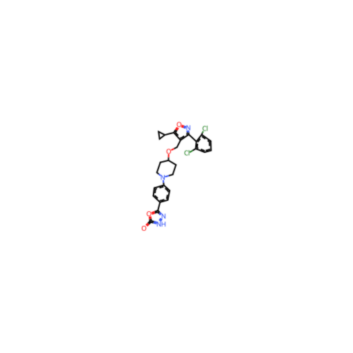 O=c1[nH]nc(-c2ccc(N3CCC(OCc4c(-c5c(Cl)cccc5Cl)noc4C4CC4)CC3)cc2)o1